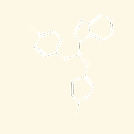 Fc1ccc([O][Zr]([O]c2ccc(F)cc2)[CH]2C=Cc3ccccc32)cc1